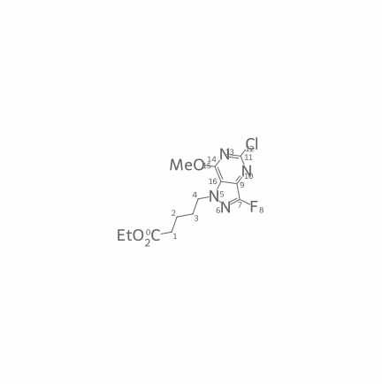 CCOC(=O)CCCCn1nc(F)c2nc(Cl)nc(OC)c21